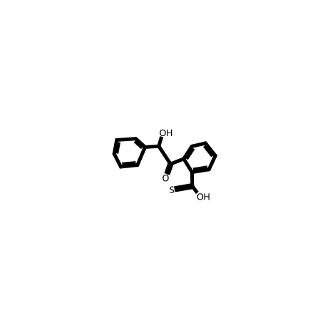 O=C(c1ccccc1C(O)=S)C(O)c1ccccc1